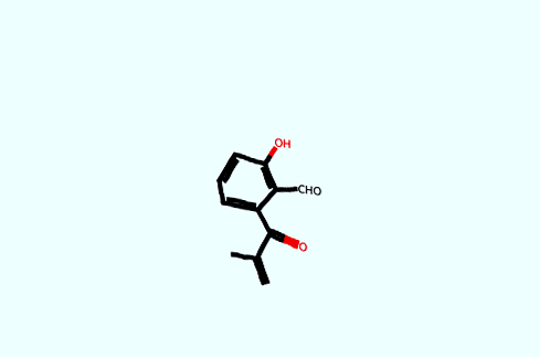 C=C(C)C(=O)c1cccc(O)c1C=O